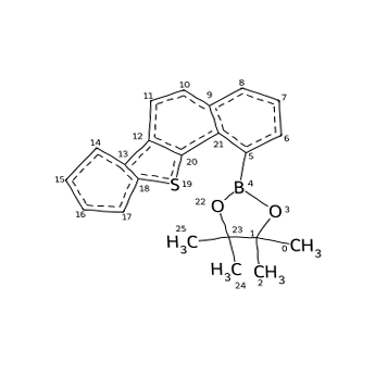 CC1(C)OB(c2cccc3ccc4c5ccccc5sc4c23)OC1(C)C